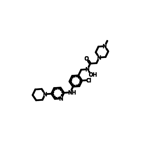 CN1CCN(CC(=O)N(O)Cc2ccc(Nc3ccc(N4CCCCC4)cn3)cc2Cl)CC1